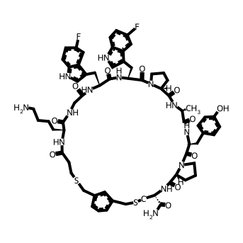 C[C@@H]1NC(=O)[C@@H]2CCCN2C(=O)[C@H](Cc2c[nH]c3ccc(F)cc23)NC(=O)[C@H](Cc2c[nH]c3ccc(F)cc23)NC(=O)CNC(=O)[C@H](CCCCN)NC(=O)CCSCc2cccc(c2)CSC[C@@H](C(N)=O)NC(=O)[C@@H]2CCCN2C(=O)[C@H](Cc2ccc(O)cc2)NC1=O